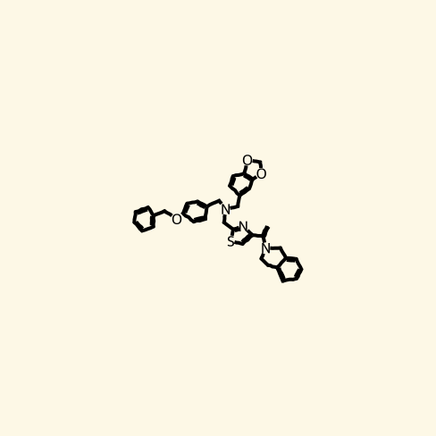 C=C(c1csc(CN(Cc2ccc(OCc3ccccc3)cc2)Cc2ccc3c(c2)OCO3)n1)N1CCc2ccccc2C1